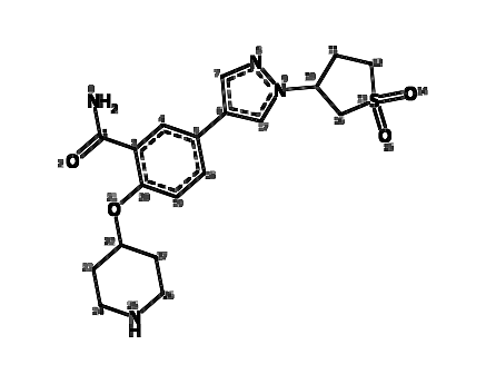 NC(=O)c1cc(-c2cnn(C3CCS(=O)(=O)C3)c2)ccc1OC1CCNCC1